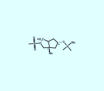 CC(C)(C)[C@]1(COS(C)(=O)=O)C[C@@H](O[Si](C)(C)C(C)(C)C)CN1C(=O)O